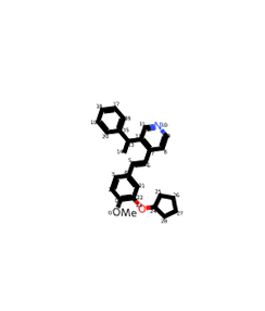 COc1ccc(C=Cc2ccncc2C(C)c2ccccc2)cc1OC1CCCC1